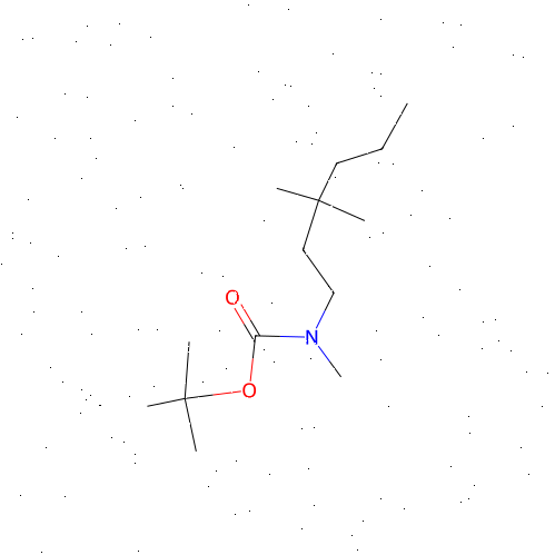 CCCC(C)(C)CCN(C)C(=O)OC(C)(C)C